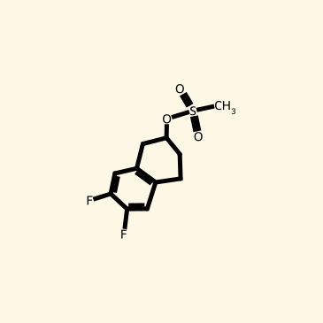 CS(=O)(=O)OC1CCc2cc(F)c(F)cc2C1